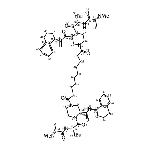 CN[C@@H](C)C(=O)N[C@H](C(=O)N1CCN(C(=O)CCCCCCCCC(=O)N2CCN(C(=O)[C@@H](NC(=O)[C@H](C)NC)C(C)(C)C)[C@H](C(=O)N[C@@H]3CCCc4ccccc43)C2)C[C@H]1C(=O)N[C@@H]1CCCc2ccccc21)C(C)(C)C